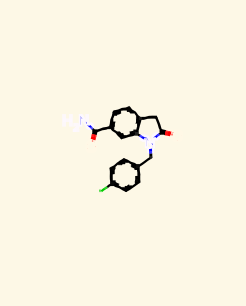 NC(=O)c1ccc2c(c1)N(Cc1ccc(Cl)cc1)C(=O)C2